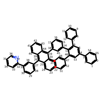 c1ccc(-c2cc(-c3ccccc3)c(-c3cccc(-c4c5ccccc5c(-c5cccc(-c6ccccn6)c5)c5ccccc45)c3)c(-c3ccccc3)c2)cc1